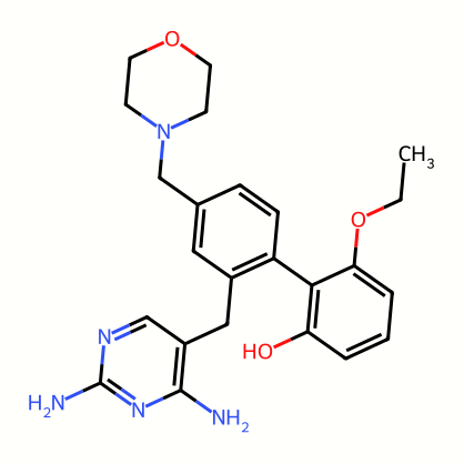 CCOc1cccc(O)c1-c1ccc(CN2CCOCC2)cc1Cc1cnc(N)nc1N